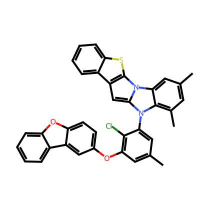 Cc1cc(Oc2ccc3oc4ccccc4c3c2)c(Cl)c(-n2c3c(C)cc(C)cc3n3c4sc5ccccc5c4cc23)c1